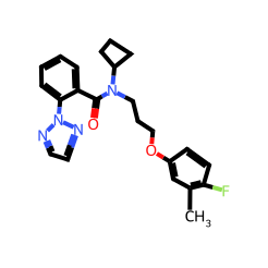 Cc1cc(OCCCN(C(=O)c2ccccc2-n2nccn2)C2CCC2)ccc1F